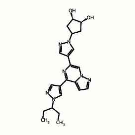 CCC(CC)n1cc(-c2nc(-c3cnn(C4C[C@@H](O)[C@@H](O)C4)c3)cn3nccc23)cn1